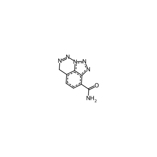 NC(=O)c1ccc2c3c1nnn3N=NC2